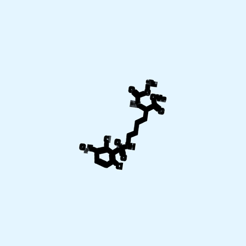 COC(=O)C(CCCCNS(=O)(=O)c1c(Cl)ccc([N+](=O)[O-])c1Cl)NC(=O)OC(C)(C)C